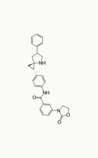 O=C(Nc1ccc([C@@H]2C[C@]23CC(c2ccccc2)CN3)cc1)c1cccc(N2CCOC2=O)c1